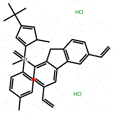 C=Cc1ccc2c(c1)-c1cc(C=C)c[c]([Zr](=[CH2])([CH3])([C]3=CC(C(C)(C)C)=CC3C)[c]3ccc(C)cc3)c1C2.Cl.Cl